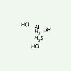 Cl.Cl.S.[AlH3].[LiH]